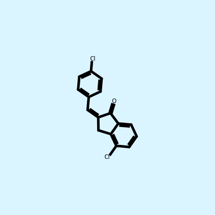 O=C1C(=Cc2ccc(Cl)cc2)Cc2c(Cl)cccc21